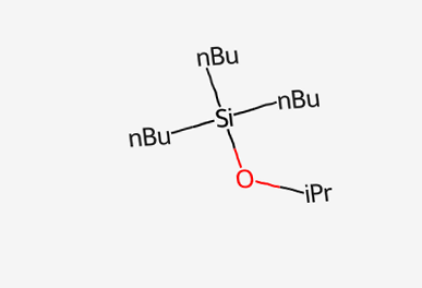 [CH2]C(C)O[Si](CCCC)(CCCC)CCCC